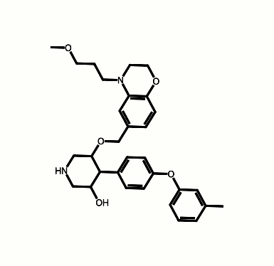 COCCCN1CCOc2ccc(COC3CNCC(O)C3c3ccc(Oc4cccc(C)c4)cc3)cc21